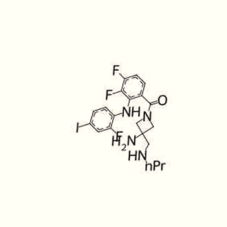 CCCNCC1(N)CN(C(=O)c2ccc(F)c(F)c2Nc2ccc(I)cc2F)C1